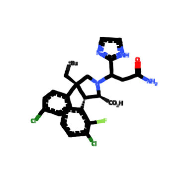 CC(C)(C)C[C@@]1(c2ccc(Cl)cc2)CN(C(CC(N)=O)c2ncc[nH]2)[C@@H](C(=O)O)[C@@H]1c1cccc(Cl)c1F